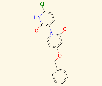 O=c1[nH]c(Cl)ccc1-n1ccc(OCc2ccccc2)cc1=O